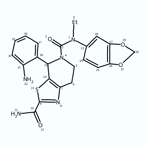 CCN(C(=O)N1CCc2nc(C(N)=O)sc2C1c1ccccc1N)c1ccc2c(c1)OCO2